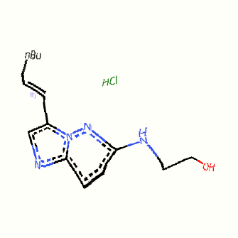 CCCC/C=C/c1cnc2ccc(NCCO)nn12.Cl